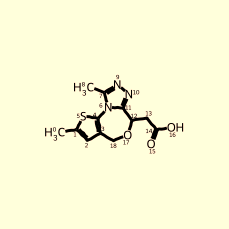 Cc1cc2c(s1)-n1c(C)nnc1C(CC(=O)O)OC2